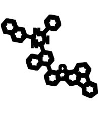 c1ccc(-c2nc(-c3ccc4ccccc4c3)nc(-c3ccc(-c4cccc5c4oc4c6cccc7c6c(cc54)-c4ccccc4-7)c4ccccc34)n2)cc1